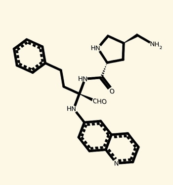 NC[C@@H]1CN[C@@H](C(=O)N[C@@](C=O)(CCc2ccccc2)Nc2ccc3ncccc3c2)C1